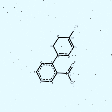 O=[N+]([O-])c1ccccc1C1=CC=C(F)CC1